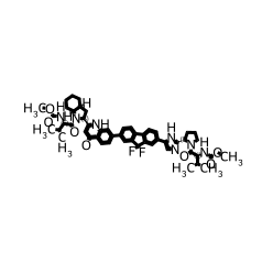 COC(=O)N[C@H](C(=O)N1CCC[C@H]1c1ncc(-c2ccc3c(c2)C(F)(F)c2cc(-c4ccc5c(=O)cc([C@@H]6C[C@@H]7CCCC[C@@H]7N6C(=O)[C@@H](NC(=O)OC)C(C)C)[nH]c5c4)ccc2-3)[nH]1)C(C)C